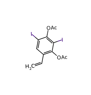 C=Cc1cc(I)c(OC(C)=O)c(I)c1OC(C)=O